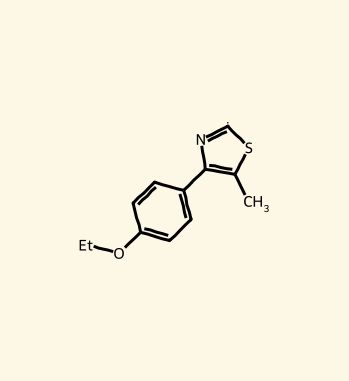 CCOc1ccc(-c2n[c]sc2C)cc1